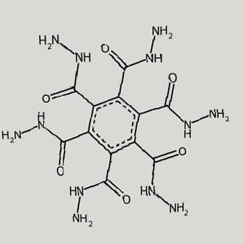 NNC(=O)c1c(C(=O)NN)c(C(=O)NN)c(C(=O)NN)c(C(=O)NN)c1C(=O)NN